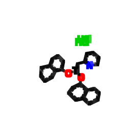 Cl.Cl.[CH](c1ccccn1)=[Ti]([O]c1cccc2ccccc12)[O]c1cccc2ccccc12